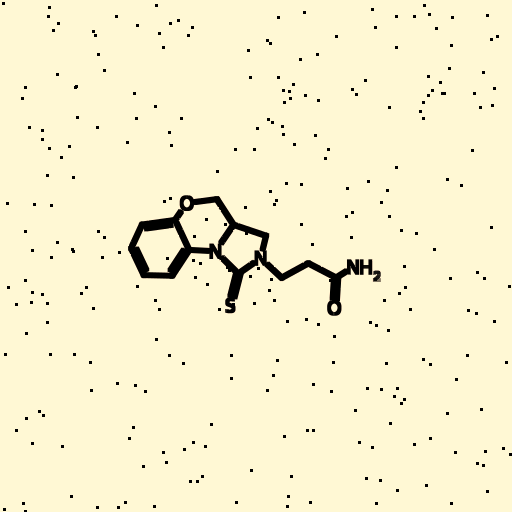 NC(=O)CCN1CC2COc3ccccc3N2C1=S